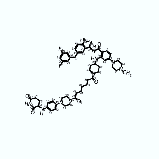 CN1CCN(c2ccc(C(=O)Nc3n[nH]c4ccc(Cc5cc(F)cc(F)c5)cc34)c(NC3CCN(C(=O)CCCCCC(=O)N4CCN(c5ccc(NC6CCC(=O)NC6=O)cc5)CC4)CC3)c2)CC1